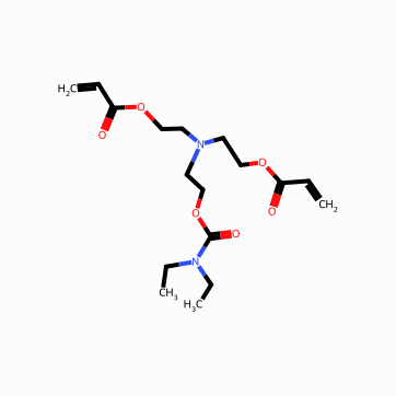 C=CC(=O)OCCN(CCOC(=O)C=C)CCOC(=O)N(CC)CC